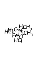 CNC.C[O][Fe].Cl.Cl